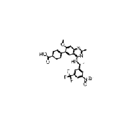 COc1cc2nc(C)nc(N[C@H](C)c3cc([N+](=O)[O-])cc(C(F)(F)F)c3)c2cc1C1=CCC(C(=O)O)CC1